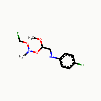 COC(CNc1ccc(Cl)cc1)ON(C)OCF